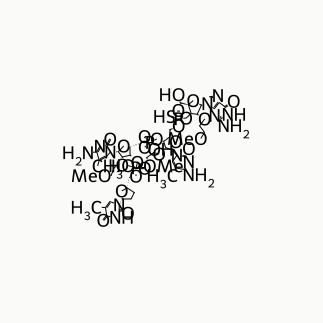 COCCO[C@H]1C(OP(=O)(O)OC[C@@H]2CC[C@H](n3cc(C)c(=O)[nH]c3=O)O2)[C@@H](COP(=O)(O)OC2[C@@H](COP(=O)(S)OC3[C@@H](CO)O[C@@H](n4cnc5c(=O)[nH]c(N)nc54)[C@H]3OCCOC)O[C@@H](n3cc(C)c(N)nc3=O)[C@H]2OCCOC)O[C@H]1n1cc(C)c(N)nc1=O